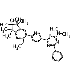 CCc1cc2c(cc1-c1ccc(-c3nc(-c4ccccc4)nc(N(C)C)n3)cn1)C(C)(C)C(C)(C)C2(C)C